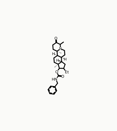 CCC1C[C@H]2[C@@H]3CCN4C(C)C(=O)CC[C@]4(C)[C@@H]3CC[C@]2(C)C1OC(=O)NCc1ccccc1